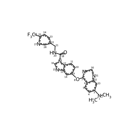 CN(C)c1ccc2c(Oc3ccc4c(c3)ncn4C(=O)NCc3ccc(C(F)(F)F)nc3)ncnc2c1